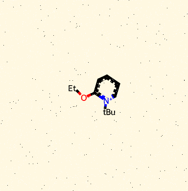 CCOc1cccc[n+]1C(C)(C)C